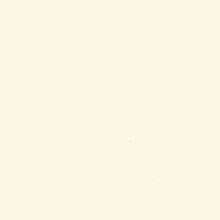 O=S(=O)(c1ccc(Cl)c(Cl)c1)N1CCN(C2CC3CCC2C3)CC1